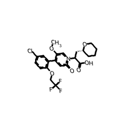 COc1cn(C(C[C@H]2CCCCO2)C(=O)O)c(=O)cc1-c1cc(Cl)ccc1OCC(F)(F)F